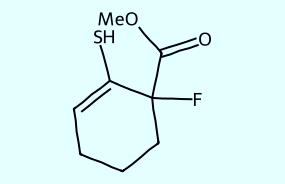 COC(=O)C1(F)CCCC=C1S